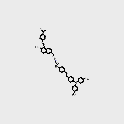 COc1ccc(N(c2ccc(C=Cc3ccc(NO/C=N/OCc4ccc5c(N=Nc6ccc(C(C)=O)cc6)c(O)ccc5c4)cc3)cc2)c2ccc(OC)cc2)cc1